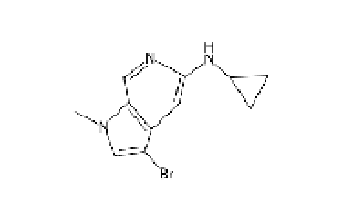 Cn1cc(Br)c2cc(NC3CC3)ncc21